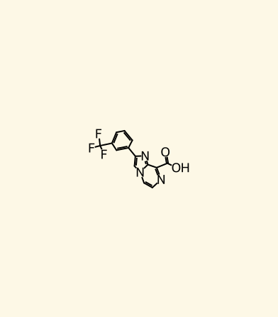 O=C(O)c1nccn2cc(-c3cccc(C(F)(F)F)c3)nc12